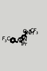 CC(C)C1c2ncc(C(=O)NCC(F)(F)F)cc2CN1Cc1ccc(C(F)(F)F)cc1